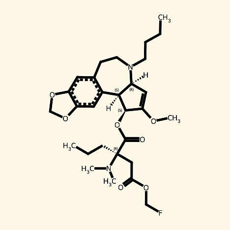 CCCCN1CCc2cc3c(cc2[C@@H]2[C@H](OC(=O)[C@@](CCC)(CC(=O)OCF)N(C)C)C(OC)=C[C@@H]21)OCO3